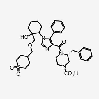 O=C(O)N1CCN(C(=O)c2ncn(C3CCCCC3(O)COCC3CCS(=O)(=O)CC3)c2-c2ccccc2)[C@H](Cc2ccccc2)C1